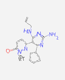 C=CCNc1nc(N)nc(-c2ccccc2)c1-c1ccc(=O)n(C(C)C)n1